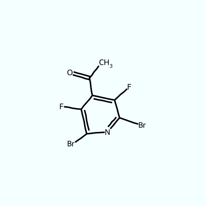 CC(=O)c1c(F)c(Br)nc(Br)c1F